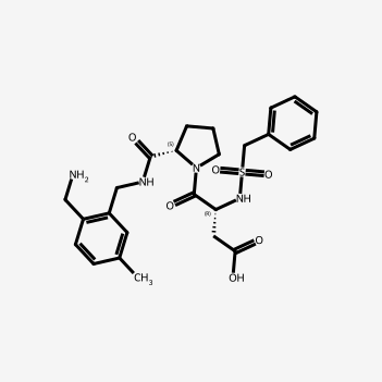 Cc1ccc(CN)c(CNC(=O)[C@@H]2CCCN2C(=O)[C@@H](CC(=O)O)NS(=O)(=O)Cc2ccccc2)c1